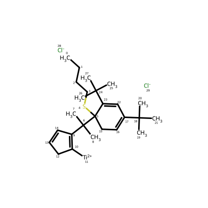 CCCCSC1(C(C)(C)C2=[C]([Ti+2])CC=C2)CC=C(C(C)(C)C)C=C1C(C)(C)C.[Cl-].[Cl-]